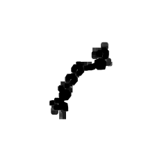 COc1ccc(C#CCNC2(C)CCN(C3CCN(c4ncc5cc(-c6cn(C)c(=O)c7[nH]ccc67)ccc5n4)CC3)CC2)cc1N1CCC(=O)NC1=O